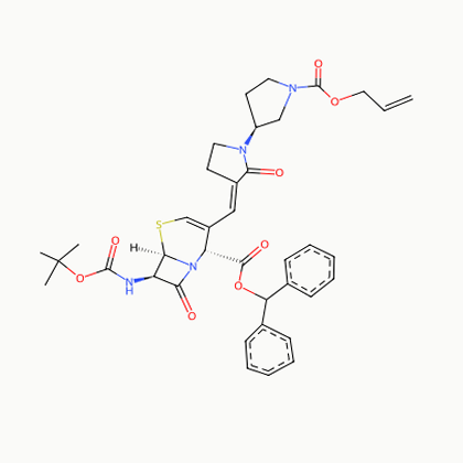 C=CCOC(=O)N1CC[C@H](N2CC/C(=C\C3=CS[C@@H]4[C@H](NC(=O)OC(C)(C)C)C(=O)N4[C@H]3C(=O)OC(c3ccccc3)c3ccccc3)C2=O)C1